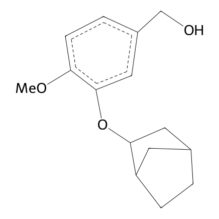 COc1ccc(CO)cc1OC1CC2CCC1C2